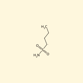 CCC[CH]S(N)(=O)=O